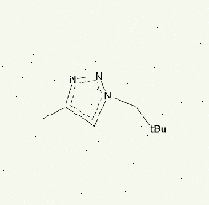 Cc1cn(CC(C)(C)C)nn1